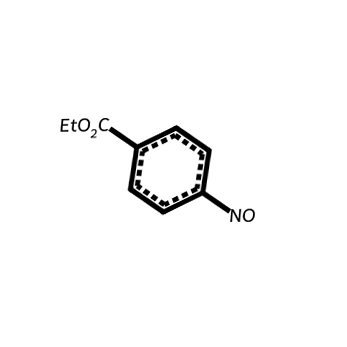 CCOC(=O)c1ccc(N=O)cc1